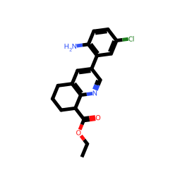 CCOC(=O)C1CCCc2cc(-c3cc(Cl)ccc3N)cnc21